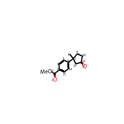 COC(=O)c1ccc(C2(C)CCC(=O)C2)cc1